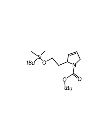 CC(C)(C)OC(=O)N1CC=CC1CCO[Si](C)(C)C(C)(C)C